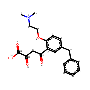 CN(C)CCOc1ccc(Cc2ccccc2)cc1C(=O)CC(=O)C(=O)O